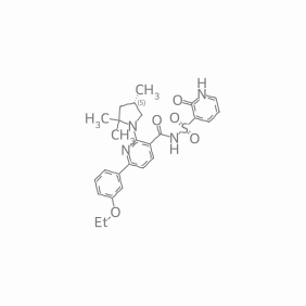 CCOc1cccc(-c2ccc(C(=O)NS(=O)(=O)c3ccc[nH]c3=O)c(N3C[C@@H](C)CC3(C)C)n2)c1